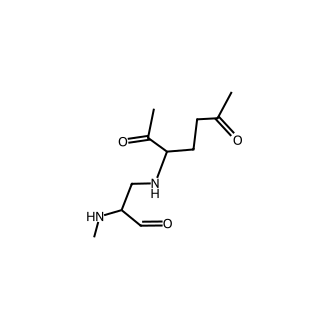 CNC(C=O)CNC(CCC(C)=O)C(C)=O